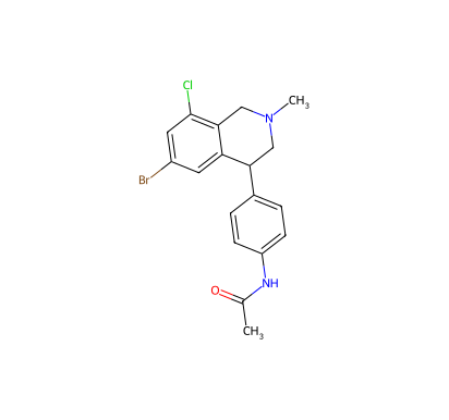 CC(=O)Nc1ccc(C2CN(C)Cc3c(Cl)cc(Br)cc32)cc1